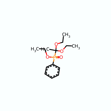 CCOC(C)(OCC)P(=O)(OCC)c1ccccc1